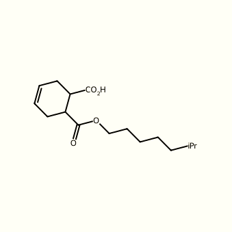 CC(C)CCCCCOC(=O)C1CC=CCC1C(=O)O